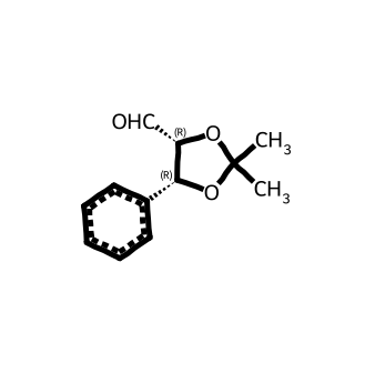 CC1(C)O[C@@H](C=O)[C@@H](c2ccccc2)O1